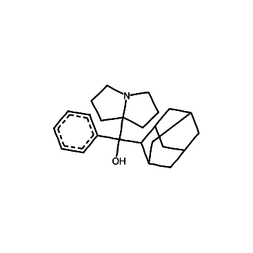 OC(c1ccccc1)(C1C2CC3CC(C2)CC1C3)C12CCCN1CCC2